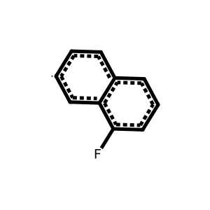 Fc1cccc2cc[c]cc12